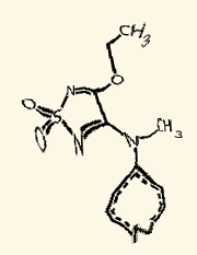 CCOC1=NS(=O)(=O)N=C1N(C)c1ccncc1